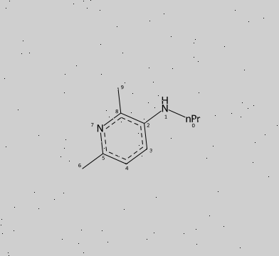 CCCNc1ccc(C)nc1C